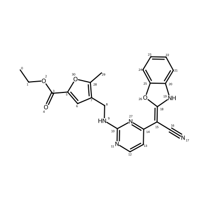 CCOC(=O)c1cc(CNc2nccc(/C(C#N)=C3/Nc4ccccc4O3)n2)c(C)o1